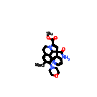 COc1cc2c(cc1N1CCOCC1)C1N(CC2)C(C(=O)OC(C)(C)C)=CC1(C(N)=O)c1cccnc1